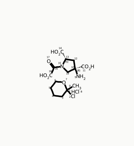 CC1(Cl)CCCCO1.Cl.N[C@]1(C(=O)O)C[C@@H](C(=O)O)N(C(=O)C(=O)O)C1